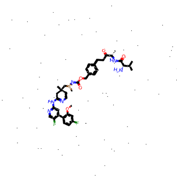 COc1cc(F)ccc1-c1cc(NC2=NC=CC(C)(C/S(C)=N/C(=O)OCc3ccc(CCC(=O)[C@H](C)NC(=O)[C@@H](N)C(C)C)cc3)C2)ncc1F